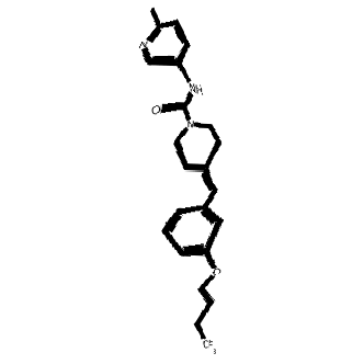 Cc1ccc(NC(=O)N2CCC(=Cc3cccc(OCCCC(F)(F)F)c3)CC2)cn1